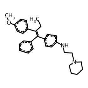 CCC(=C(c1ccccc1)c1ccc(NCCN2CCCCC2)cc1)c1ccc(OC)cc1